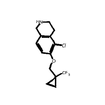 FC(F)(F)C1(COc2ccc3c(c2Cl)CCNC3)CC1